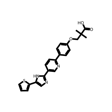 CC(C)(COc1ccc(-c2ccc(-c3ncc(-c4cccs4)[nH]3)cn2)cc1)C(=O)O